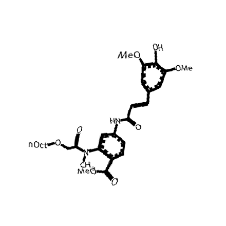 CCCCCCCCOCC(=O)N(C)c1cc(NC(=O)/C=C/c2cc(OC)c(O)c(OC)c2)ccc1C(=O)OC